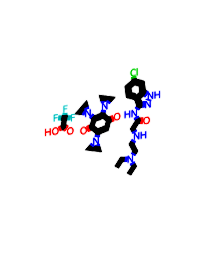 CCN(CC)CCNCC(=O)Nc1n[nH]c2cc(Cl)ccc12.O=C(O)C(F)(F)F.O=C1C=C(N2CC2)C(=O)C(N2CC2)=C1N1CC1